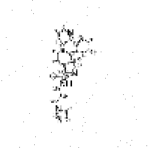 Cc1cc(-c2ncccc2-c2ccn3c(C(=O)NCCCn4ccnc4)ncc3c2)ccc1F